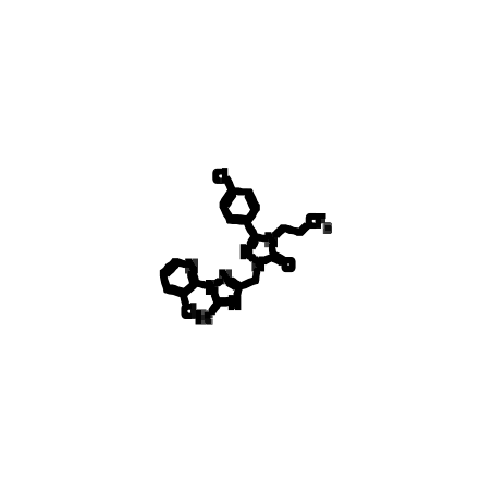 CCc1nc(Cn2nc(-c3ccc(Cl)cc3)n(CCC(F)(F)F)c2=O)nn1-c1ncccc1Cl